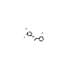 CCOc1ccc(-c2nc(-c3ccc(O)c(NC(C)=O)c3)cs2)cc1OCC